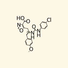 COc1ccc(C[C@@H](Cc2ocnc2C(=O)O)NC(=O)Nc2ccc(Cl)cc2)cc1